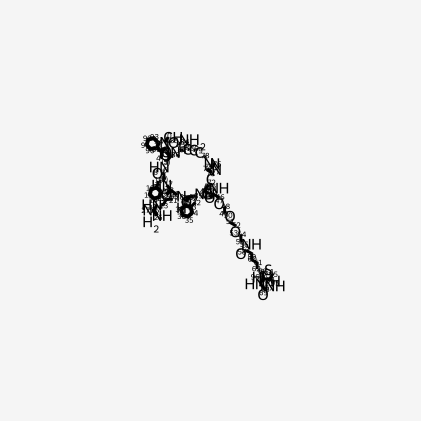 Cn1cc(C[C@@H]2NC(=O)[C@@H](Cc3ccccc3)NC(=O)[C@@H](CCCNC(=N)N)NC(=O)[C@@H](Cc3ccccc3)NC(=O)[C@@H](NC(=O)COCCOCCOCCNC(=O)CCCC[C@@H]3SC[C@@H]4NC(=O)N[C@@H]43)Cc3cn(nn3)CCCC[C@@H](C(N)=O)NC2=O)c2ccccc21